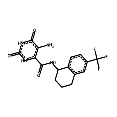 Nc1c(C(=O)NC2CCCc3cc(C(F)(F)F)ccc32)[nH]c(=O)[nH]c1=O